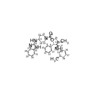 CC1C=C(CS(N)(Cc2ccccc2)[C@@H](C)COC(=O)N2CCC(Nc3nc4ccccc4[nH]3)CC2)C=CC1